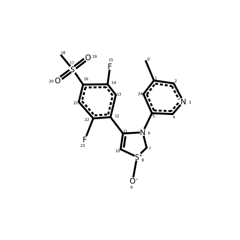 Cc1cncc(N2C[S+]([O-])C=C2c2cc(F)c(S(C)(=O)=O)cc2F)c1